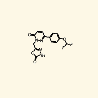 O=c1[nH]nc(Cn2nc(-c3ccc(OC(F)F)cc3)ccc2=O)o1